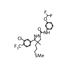 CSCCCC1(C)CN(C(=O)Nc2cccc(OC(F)F)c2)N=C1c1ccc(C(F)(F)F)c(Cl)c1